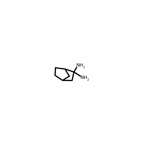 NC1(N)CC2CCC1C2